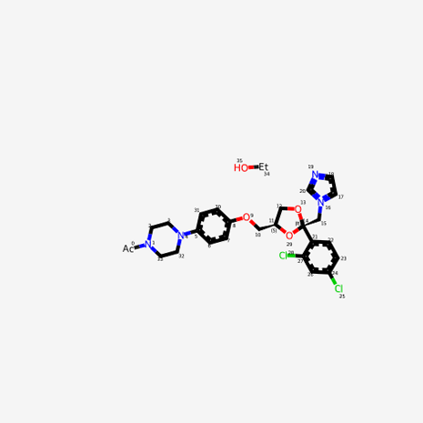 CC(=O)N1CCN(c2ccc(OC[C@H]3CO[C@](Cn4ccnc4)(c4ccc(Cl)cc4Cl)O3)cc2)CC1.CCO